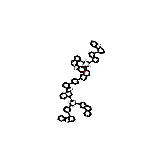 c1cc(-c2nc(-c3ccc4ccc5ccccc5c4c3)nc(-c3cc4oc5c(-c6ccc(-c7ccc8ccc(-c9nc(-c%10cccc%11c(-c%12cccc%13oc%14ccccc%14c%12%13)cccc%10%11)nc(-c%10cccc%11ccc%12oc%13ccccc%13c%12c%10%11)n9)cc8c7)cc6)cccc5c4c4ccccc34)n2)cc(-c2cccc3oc4ccccc4c23)c1